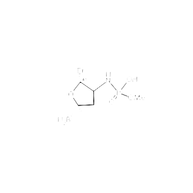 B[C@H]1CC(NP(=O)(O)OC)[C@@H](CC)O1